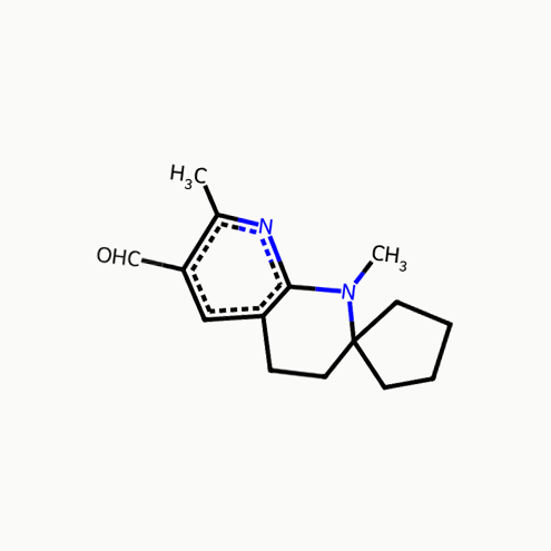 Cc1nc2c(cc1C=O)CCC1(CCCC1)N2C